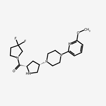 COc1cccc(N2CCN([C@@H]3CN[C@H](C(=O)N4CCC(F)(F)C4)C3)CC2)n1